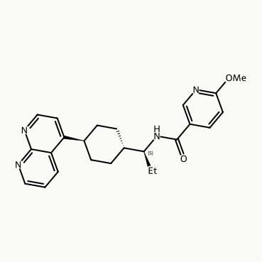 CC[C@H](NC(=O)c1ccc(OC)nc1)[C@H]1CC[C@H](c2ccnc3ncccc32)CC1